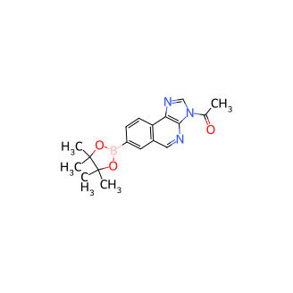 CC(=O)n1cnc2c3ccc(B4OC(C)(C)C(C)(C)O4)cc3cnc21